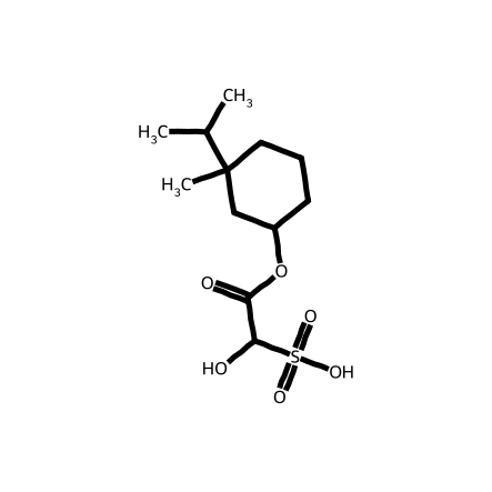 CC(C)C1(C)CCCC(OC(=O)C(O)S(=O)(=O)O)C1